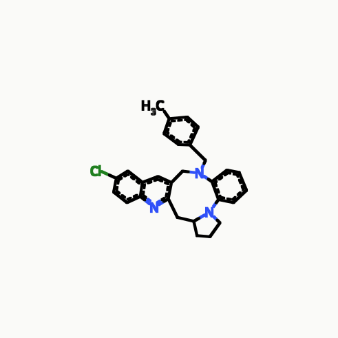 Cc1ccc(CN2Cc3cc4cc(Cl)ccc4nc3CC3CCCN3c3ccccc32)cc1